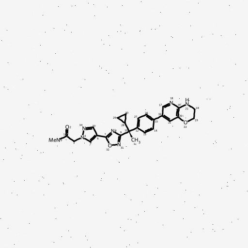 CNC(=O)Cn1cc(-c2nc([C@@](C)(c3ccc(-c4cnc5c(c4)OCCN5)cc3)C3CC3)no2)cn1